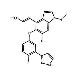 CCOC(=O)/C=C/c1c(Oc2ccc(F)c(-c3cc[nH]n3)c2)c(F)cc2c1ccn2SI